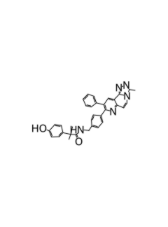 Cc1nnc2c3cc(-c4ccccc4)c(-c4ccc(CNC(=O)C(C)(C)c5ccc(O)cc5)cc4)nc3ccn12